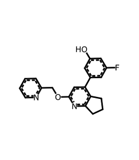 Oc1cc(F)cc(-c2cc(OCc3ccccn3)nc3c2CCC3)c1